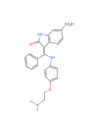 CCOC(=O)c1ccc2c(c1)NC(=O)C2=C(Nc1ccc(OCCN(C)C)cc1)c1ccccc1